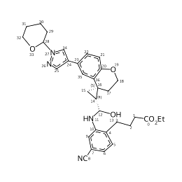 CCOC(=O)CCCc1ccc(C#N)cc1NC(O)[C@@H]1C[C@]12CCOc1ccc(-c3cnn(C4CCCCO4)c3)cc12